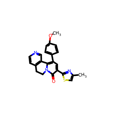 COc1ccc(-c2cc(-c3nc(C)cs3)c(=O)n3c2-c2cnccc2CC3)cc1